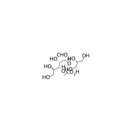 CC(=O)O.O=C[C@H](O)[C@@H](O)[C@H](O)[C@H](O)CO.OCC(O)CO